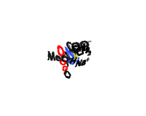 CO[C@@]1(NC(=O)COc2ccccc2)C(=O)N2[C@@H](C(=O)[O-])C(C)(C)S[C@@H]21.[Na+]